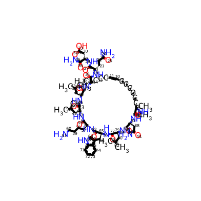 CN[C@]1(C)CCCCCCC=CCCC[C@@](C)(C(=O)N[C@@H](CCC(N)=O)C(=O)N[C@@H](CC(=O)O)C(N)=O)NC(=O)[C@H](CC(C)C)NC(=O)[C@H](CC(C)C)NC(=O)[C@H](CCCCN)NC(=O)[C@H](Cc2c[nH]c3ccccc23)NC(=O)[C@H](CC(C)C)NC(=O)[C@H](CC(N)=O)NC1=O